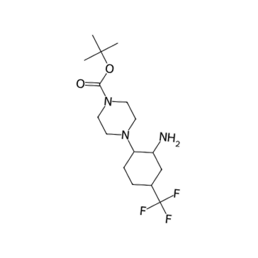 CC(C)(C)OC(=O)N1CCN(C2CCC(C(F)(F)F)CC2N)CC1